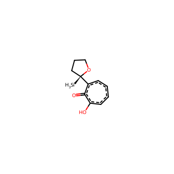 O=c1c(O)ccccc1[C@]1([SiH3])CCCO1